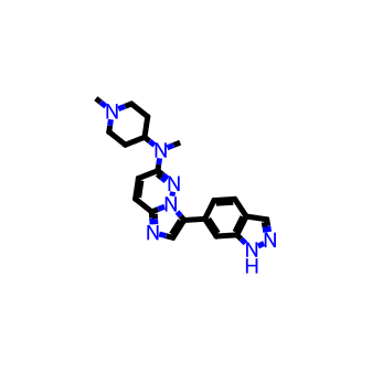 CN1CCC(N(C)c2ccc3ncc(-c4ccc5cn[nH]c5c4)n3n2)CC1